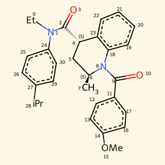 CCN(C(=O)[C@H]1C[C@H](C)N(C(=O)c2ccc(OC)cc2)c2ccccc21)c1ccc(C(C)C)cc1